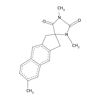 Cc1ccc2cc3c(cc2c1)CC1(C3)C(=O)N(C)C(=O)N1C